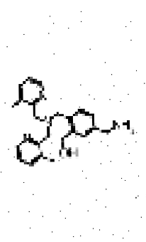 Cc1cccnc1CN(Cc1ccc(CN)cc1CO)Cc1ncccc1C